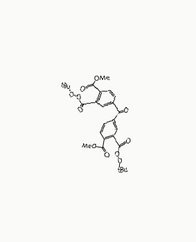 COC(=O)c1ccc(C(=O)c2ccc(C(=O)OC)c(C(=O)OOC(C)(C)C)c2)cc1C(=O)OOC(C)(C)C